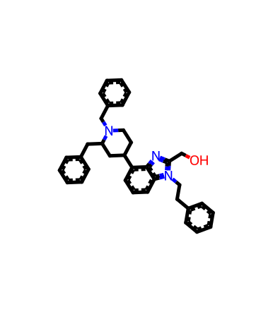 OCc1nc2c(C3CCN(Cc4ccccc4)C(Cc4ccccc4)C3)cccc2n1CCc1ccccc1